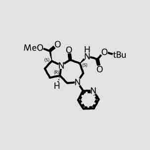 COC(=O)[C@@H]1CC[C@@H]2CN(c3ccccn3)C[C@H](NC(=O)OC(C)(C)C)C(=O)N21